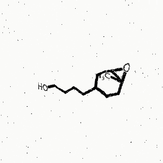 CC12CCC(CCCCO)CC1O2